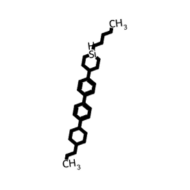 CCCCC[SiH]1CCC(c2ccc(-c3ccc(C4CCC(CCC)CC4)cc3)cc2)CC1